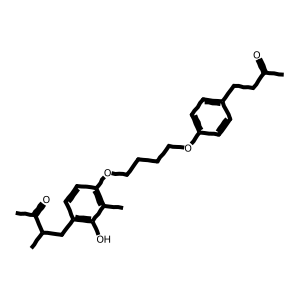 CC(=O)CCc1ccc(OCCCCOc2ccc(CC(C)C(C)=O)c(O)c2C)cc1